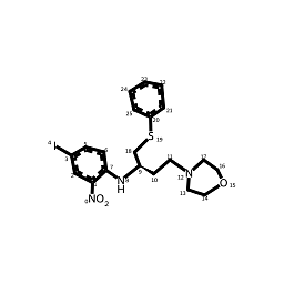 O=[N+]([O-])c1cc(I)ccc1N[C@H](CCN1CCOCC1)CSc1ccccc1